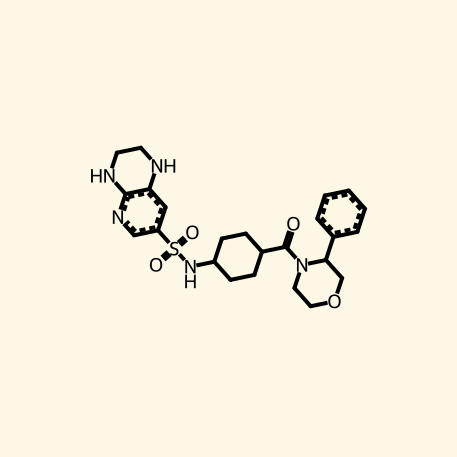 O=C(C1CCC(NS(=O)(=O)c2cnc3c(c2)NCCN3)CC1)N1CCOCC1c1ccccc1